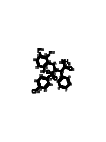 NC(=O)[C@@H](c1ccccc1)N(Cc1c(F)ccc(F)c1F)S(=O)(=O)c1ccc(Cl)cc1